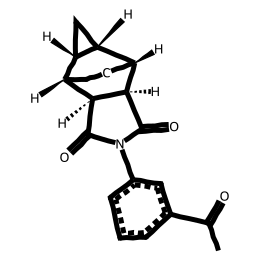 CC(=O)c1cccc(N2C(=O)[C@@H]3[C@@H]4CC[C@@H]([C@@H]5C[C@@H]54)[C@@H]3C2=O)c1